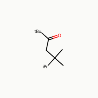 CC(C)C(C)(C)CC(=O)C(C)(C)C